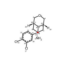 N[C@H]1C[C@H]2COC[C@@H](C1)N2Cc1ccc(Cl)c(Cl)c1